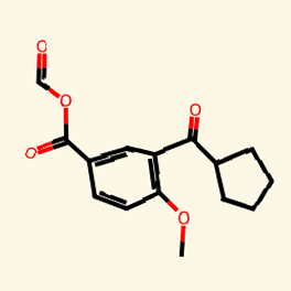 COc1ccc(C(=O)OC=O)cc1C(=O)C1CCCC1